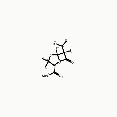 COC(=O)[C@@H]1N2C(=O)[C@@](Br)(C(C)O)[C@H]2SC1(C)C